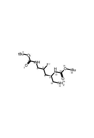 CC(C)(C)OC(=O)NCC(F)C[C@H](CN)NC(=O)OC(C)(C)C